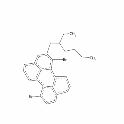 CCCCC(CC)Cc1cc2cccc3c4c(Br)ccc5cccc(c(c1Br)c23)c54